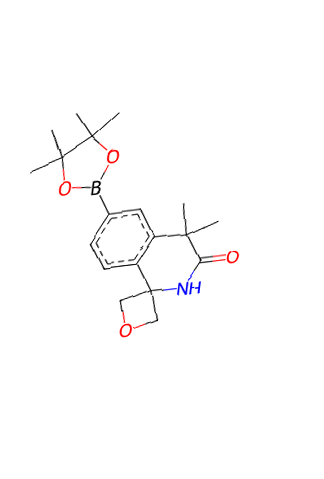 CC1(C)C(=O)NC2(COC2)c2ccc(B3OC(C)(C)C(C)(C)O3)cc21